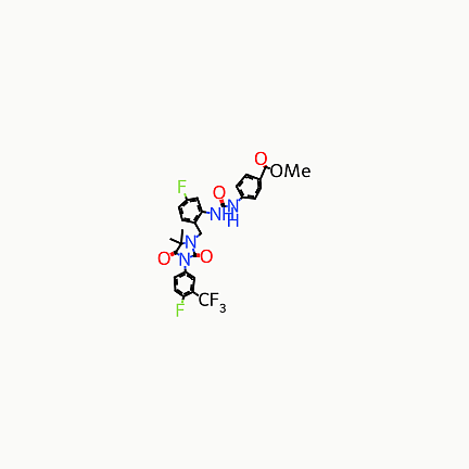 COC(=O)c1ccc(NC(=O)Nc2cc(F)ccc2CN2C(=O)N(c3ccc(F)c(C(F)(F)F)c3)C(=O)C2(C)C)cc1